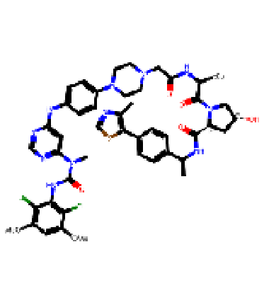 COc1cc(OC)c(Cl)c(NC(=O)N(C)c2cc(Nc3ccc(N4CCN(CC(=O)NC(C(=O)N5C[C@H](O)C[C@H]5C(=O)NC(C)c5ccc(-c6scnc6C)cc5)C(C)(C)C)CC4)cc3)ncn2)c1Cl